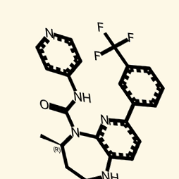 C[C@@H]1CCNc2ccc(-c3cccc(C(F)(F)F)c3)nc2N1C(=O)Nc1ccncc1